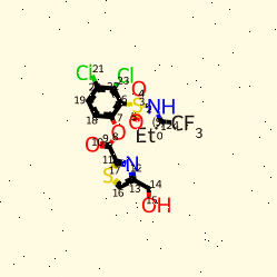 CC[C@H](NS(=O)(=O)c1c(OC(=O)c2nc(CO)cs2)ccc(Cl)c1Cl)C(F)(F)F